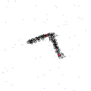 O=[Si]([O-])[O-].O=[Si]([O-])[O-].O=[Si]([O-])[O-].O=[Si]([O-])[O-].O=[Si]([O-])[O-].O=[Si]([O-])[O-].O=[Si]([O-])[O-].O=[Si]([O-])[O-].[Al+3].[Al+3].[Al+3].[Be+2].[Be+2].[Be+2].[Ca+2].[Ca+2].[Ca+2].[Li+].[Li+].[Li+].[OH-].[OH-].[OH-].[OH-].[OH-].[OH-].[OH-].[OH-]